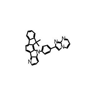 CC1(C)c2ccccc2-c2ccc3c4ncccc4n(-c4ccc(-c5cn6cccnc6n5)cc4)c3c21